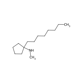 CCCCCCCCC1(NC)CCCC1